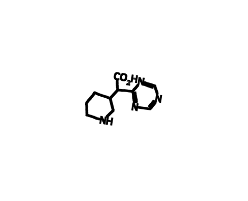 O=C(O)C(c1ncncn1)C1CCCNC1